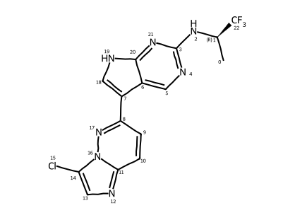 C[C@@H](Nc1ncc2c(-c3ccc4ncc(Cl)n4n3)c[nH]c2n1)C(F)(F)F